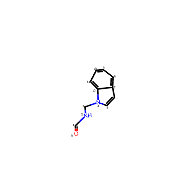 O=[C]NCn1ccc2ccccc21